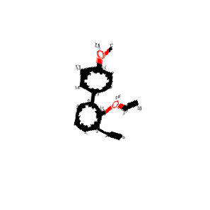 C#Cc1cccc(-c2ccc(OC)cc2)c1OC=C